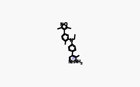 CCN(c1ccc(/C(C=N)=C(\C)N)cc1)c1cc(-c2c(C)noc2C)ccc1C